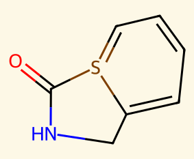 O=C1NCC2=CC=CC=S12